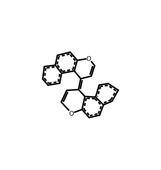 C1=CC(=C2C=COc3ccc4ccccc4c32)c2c(ccc3ccccc23)O1